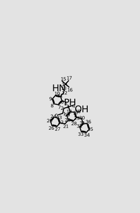 CCCC(C)(Pc1ccccc1CNC(C)(C)C)c1cc(Cc2ccccc2)cc(Cc2ccccc2)c1O